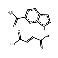 NC(=O)c1ccc2cc[nH]c2c1.O=C(O)C=CC(=O)O